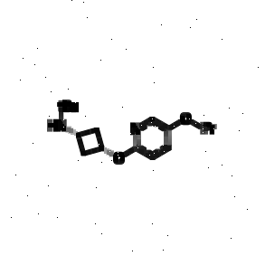 CC(C)Oc1ccc(O[C@H]2C[C@@H](NC(C)(C)C)C2)nc1